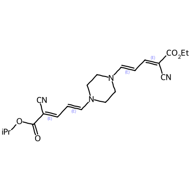 CCOC(=O)/C(C#N)=C/C=C/N1CCN(/C=C/C=C(\C#N)C(=O)OC(C)C)CC1